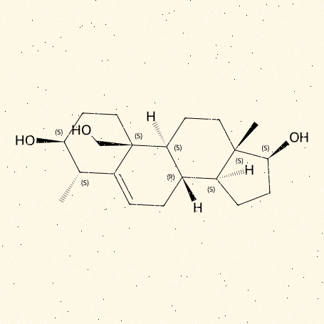 C[C@H]1C2=CC[C@@H]3[C@H](CC[C@]4(C)[C@@H](O)CC[C@@H]34)[C@@]2(CO)CC[C@@H]1O